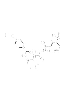 Cc1ccc(C(=S)N[C@@H]2CCCC[C@@H]2NC(=O)CNC(=O)c2cccc(C(F)(F)F)c2)cc1